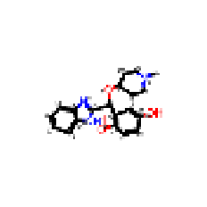 CN1CCC(OC(c2nc3ccccc3[nH]2)c2cc(O)ccc2O)CC1